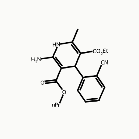 CCCOC(=O)C1=C(N)NC(C)=C(C(=O)OCC)C1c1ccccc1C#N